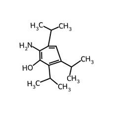 CC(C)c1cc(C(C)C)c(C(C)C)c(O)c1N